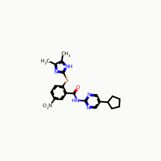 Cc1nc(Sc2ccc([N+](=O)[O-])cc2C(=O)Nc2ncc(C3CCCC3)cn2)[nH]c1C